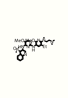 CCc1cc(Nc2ncc(OC)c(Nc3cnc4ccccc4c3P(C)(C)=O)n2)c(OC)nc1N(C)CCN(C)C